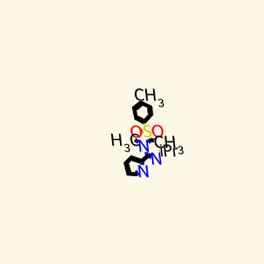 Cc1ccc(S(=O)(=O)C(C)N(C)/C(=N\C(C)C)c2ccccn2)cc1